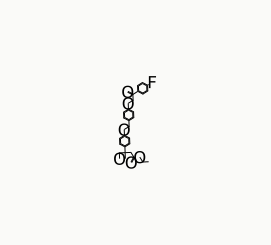 CCOC(=O)CC1(c2ccc(OCc3ccc(OCC(=O)c4ccc(F)cc4)cc3)cc2)COC1